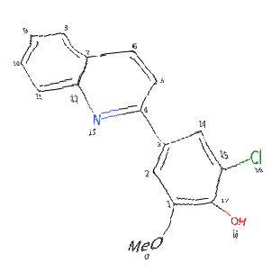 COc1cc(-c2[c]cc3ccccc3n2)cc(Cl)c1O